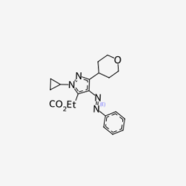 CCOC(=O)c1c(/N=N/c2ccccc2)c(C2CCOCC2)nn1C1CC1